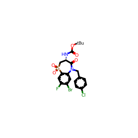 CC(C)(C)OC(=O)N[C@H]1CS(=O)(=O)c2cc(F)c(Br)cc2N(Cc2ccc(Cl)cc2)C1=O